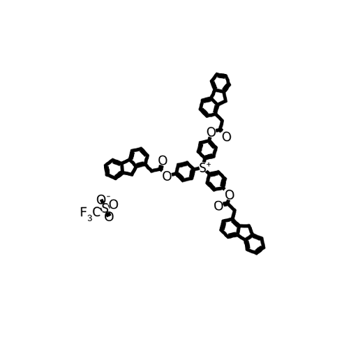 O=C(Cc1cccc2c1Cc1ccccc1-2)Oc1ccc([S+](c2ccc(OC(=O)Cc3cccc4c3Cc3ccccc3-4)cc2)c2ccc(OC(=O)Cc3cccc4c3Cc3ccccc3-4)cc2)cc1.O=S(=O)([O-])C(F)(F)F